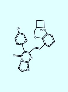 COc1cccc(C=Cc2nc3sccn3c(=O)c2-c2ccc(C#N)cc2)c1OCC1CCC1